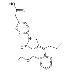 CCCc1c2c(c(OCC)c3ccccc13)C(=O)N(c1ccc(CC(=O)O)cc1)C2